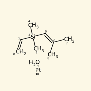 C=C[Si](C)(C)C=C(C)C.O.[Pt]